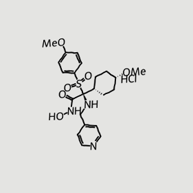 COc1ccc(S(=O)(=O)[C@@](NCc2ccncc2)(C(=O)NO)[C@H]2CC[C@@H](OC)CC2)cc1.Cl